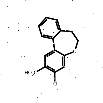 O=C(O)c1cc2c(cc1Cl)OCCc1ccccc1-2